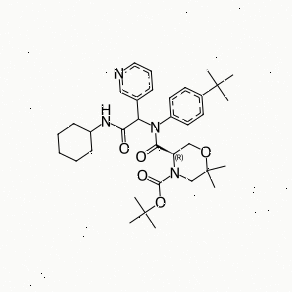 CC(C)(C)OC(=O)N1CC(C)(C)OC[C@@H]1C(=O)N(c1ccc(C(C)(C)C)cc1)C(C(=O)NC1CCCCC1)c1cccnc1